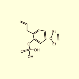 C=C.C=CCc1ccccc1OP(=O)(O)O.CCOCC